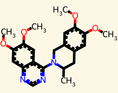 COc1cc2c(cc1OC)CN(c1ncnc3cc(OC)c(OC)cc13)C(C)C2